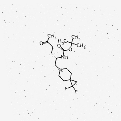 CC(=O)CC[C@@H](CN1CCC2(CC1)CC2(F)F)NC(=O)OC(C)(C)C